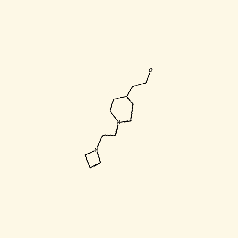 [O]CCC1CCN(CCN2CCC2)CC1